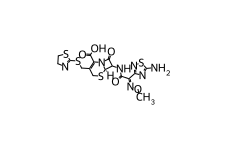 CO/N=C(/C(=O)NC1C(=O)N2C(C(=O)O)=C(CSC3=NCCS3)CS[C@H]12)c1nsc(N)n1